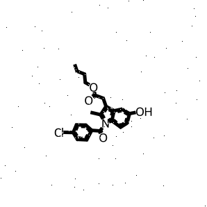 CCCCOC(=O)Cc1c(C)n(C(=O)c2ccc(Cl)cc2)c2ccc(O)cc12